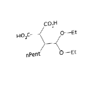 CCCCCC(C(OCC)OCC)C(C(=O)O)C(=O)O